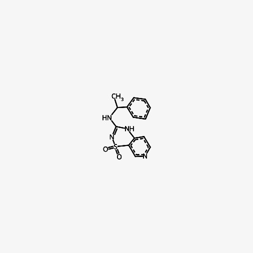 CC(NC1=NS(=O)(=O)c2cnccc2N1)c1ccccc1